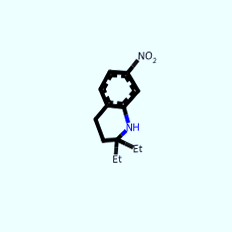 CCC1(CC)CCc2ccc([N+](=O)[O-])cc2N1